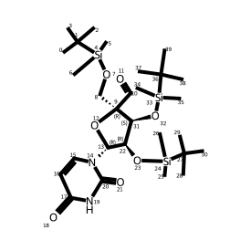 CC(C)(C)[Si](C)(C)OC[C@@]1(C=O)O[C@@H](n2ccc(=O)[nH]c2=O)[C@H](O[Si](C)(C)C(C)(C)C)[C@@H]1O[Si](C)(C)C(C)(C)C